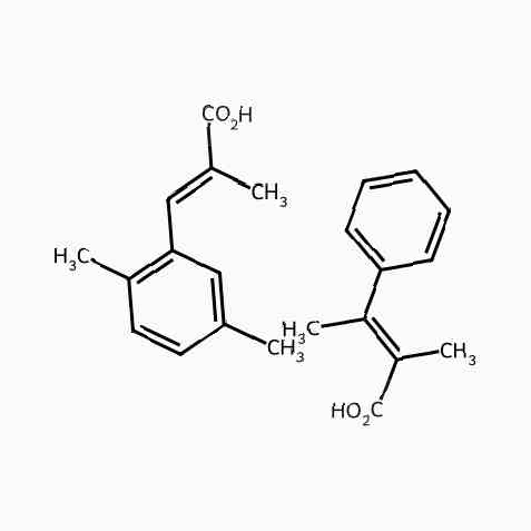 CC(=Cc1cc(C)ccc1C)C(=O)O.CC(C(=O)O)=C(C)c1ccccc1